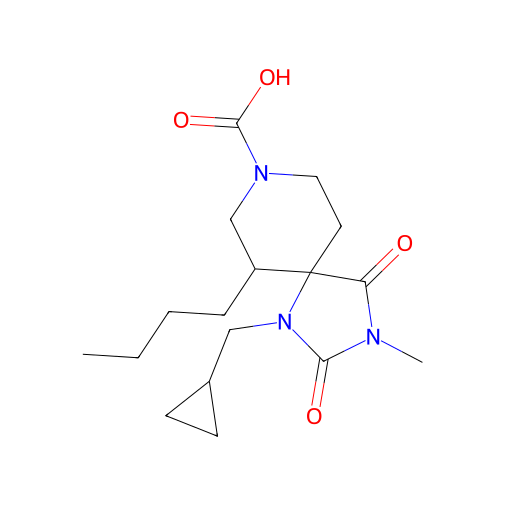 CCCCC1CN(C(=O)O)CCC12C(=O)N(C)C(=O)N2CC1CC1